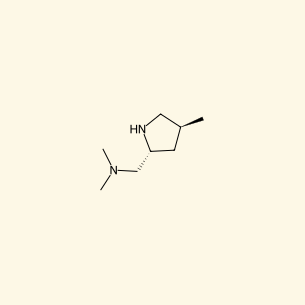 C[C@@H]1CN[C@@H](CN(C)C)C1